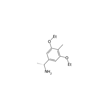 CCOc1cc([C@@H](C)N)cc(OCC)c1C